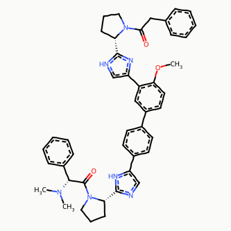 COc1ccc(-c2ccc(-c3cnc([C@@H]4CCCN4C(=O)[C@@H](c4ccccc4)N(C)C)[nH]3)cc2)cc1-c1c[nH]c([C@@H]2CCCN2C(=O)Cc2ccccc2)n1